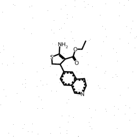 CCOC(=O)C1=C(N)SCC1c1ccc2cnccc2c1